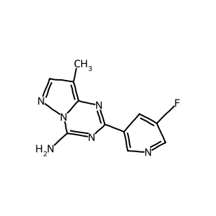 Cc1cnn2c(N)nc(-c3cncc(F)c3)nc12